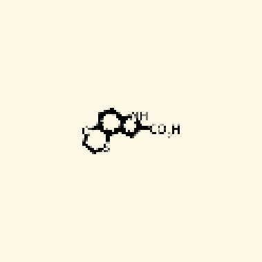 O=C(O)c1cc2c3c(ccc2[nH]1)OCCS3